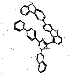 c1ccc(-c2ccc(C3=NC(c4ccc5ccccc5c4)NC(c4cccc5oc6cc(-c7ccc8sc9ccccc9c8c7)ccc6c45)=N3)cc2)cc1